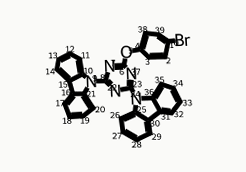 Brc1ccc(Oc2nc(-n3c4ccccc4c4ccccc43)nc(-n3c4ccccc4c4ccccc43)n2)cc1